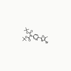 Cc1oc(-c2ccc(N(C(=O)OC(C)(C)C)C(=O)OC(C)(C)C)cn2)nc1Br